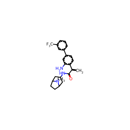 C=C(C(=O)NC1CC2CCC(C1)N2C)c1ccc(-c2cccc(C(F)(F)F)c2)cc1N